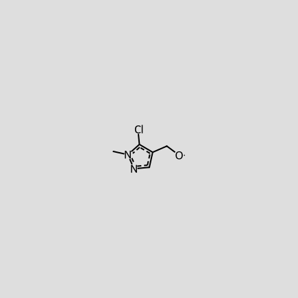 Cn1ncc(C[O])c1Cl